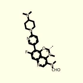 C[C@H]1Oc2c(-c3ccc(N4CCC(N(C)C)CC4)nc3)c(F)cc3ncc(N(C)C=O)c(c23)N1C